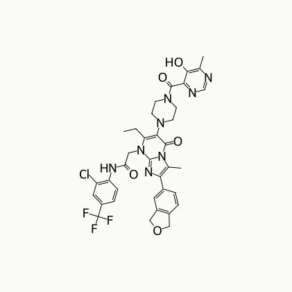 CCc1c(N2CCN(C(=O)c3ncnc(C)c3O)CC2)c(=O)n2c(C)c(-c3ccc4c(c3)COC4)nc2n1CC(=O)Nc1ccc(C(F)(F)F)cc1Cl